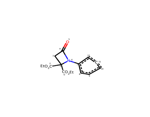 CCOC(=O)C1(C(=O)OCC)CC(=O)N1c1ccccc1